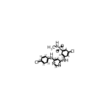 CNS(=O)(=O)c1cc(Cl)cc(Nc2cc(Nc3ccc(Cl)cc3)ncn2)c1